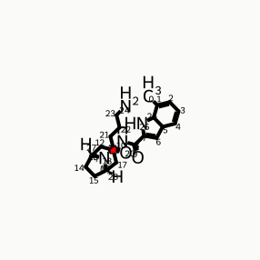 CC1=CC=CC2C=C(C(=O)N[C@H]3C[C@H]4CC[C@@H](C3)N4C(=O)CCCN)NC12